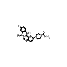 CC(C)Oc1cc(F)ccc1Nc1ncnc2ccc(N3CCN(C(N)=S)CC3)nc12